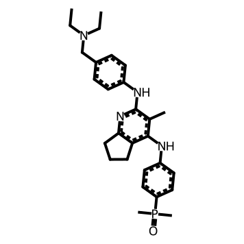 CCN(CC)Cc1ccc(Nc2nc3c(c(Nc4ccc(P(C)(C)=O)cc4)c2C)CCC3)cc1